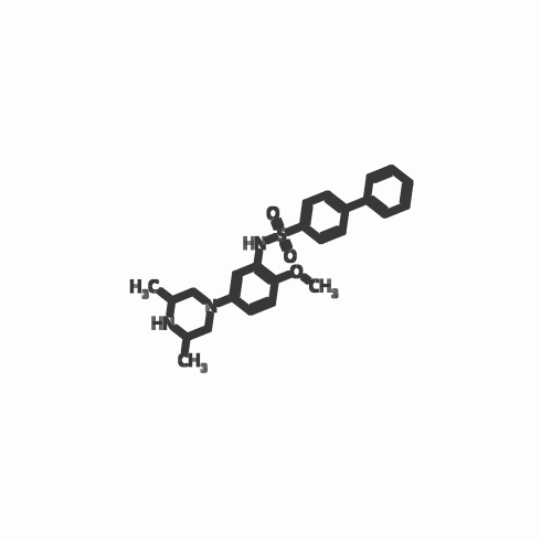 COc1ccc(N2CC(C)NC(C)C2)cc1NS(=O)(=O)c1ccc(-c2ccccc2)cc1